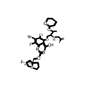 CC(OC1CCCCO1)C(COc1c(Cl)c(Br)c(F)c2nc(OC[C@@]34CCCN3C[C@H](F)C4)nc(O)c12)NCC(F)F